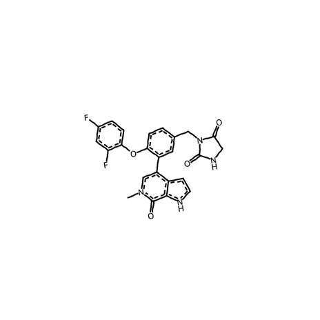 Cn1cc(-c2cc(CN3C(=O)CNC3=O)ccc2Oc2ccc(F)cc2F)c2cc[nH]c2c1=O